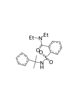 CCN(CC)C(=O)c1ccccc1S(=O)(=O)NC(C)(C)c1ccccc1